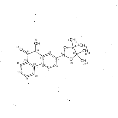 CC1(C)ON(c2ccc3c(c2)C(O)C(=O)c2ccccc2-3)OC1(C)C